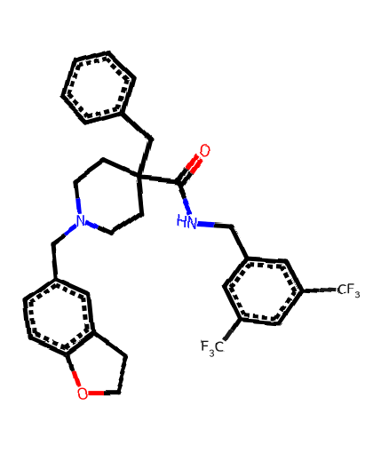 O=C(NCc1cc(C(F)(F)F)cc(C(F)(F)F)c1)C1(Cc2ccccc2)CCN(Cc2ccc3c(c2)CCO3)CC1